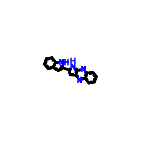 c1ccc2[nH]c(-c3cc4nc5ccccc5nc4[nH]3)cc2c1